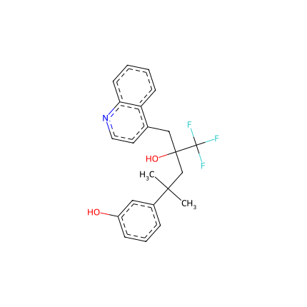 CC(C)(CC(O)(Cc1ccnc2ccccc12)C(F)(F)F)c1cccc(O)c1